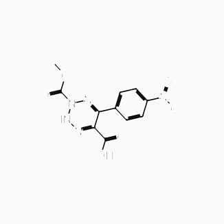 COC(=O)N1N=C(c2ccc([N+](=O)[O-])cc2)C(C(=O)O)=NN1